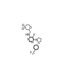 O=S1(=O)CCOC(CNc2ncnc(N3CCC[C@@H]3c3ccc(C(F)(F)F)cc3)c2F)C1